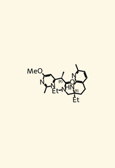 CCN(C[C@@]1(CC)CCc2ccc(C)nc2N1)C(=O)[C@H](C)c1cc(OC)nc(C)n1